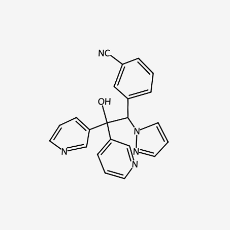 N#Cc1cccc(C(n2cccn2)C(O)(c2cccnc2)c2cccnc2)c1